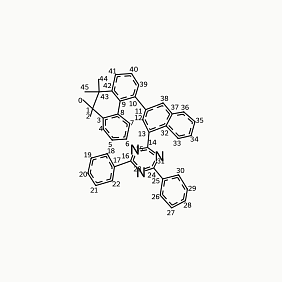 CC1(C)c2ccccc2-c2c(-c3cc(-c4nc(-c5ccccc5)nc(-c5ccccc5)n4)c4ccccc4c3)cccc2C1(C)C